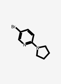 Brc1ccc(N2[CH]CCC2)nc1